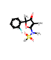 CCS(=O)(=O)N(C)C1=C(OC(C)=O)C(=O)C(C)(c2ccccc2F)O1